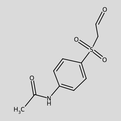 CC(=O)Nc1ccc(S(=O)(=O)CC=O)cc1